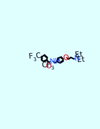 CCN(CC)CCCOc1ccc(CNC(=O)c2ccc(C(F)(F)F)cc2C(F)(F)F)cc1